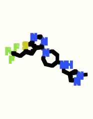 Cn1cc(CNC2CCCN(c3ncnc4sc(CC(F)(F)F)cc34)CC2)cn1